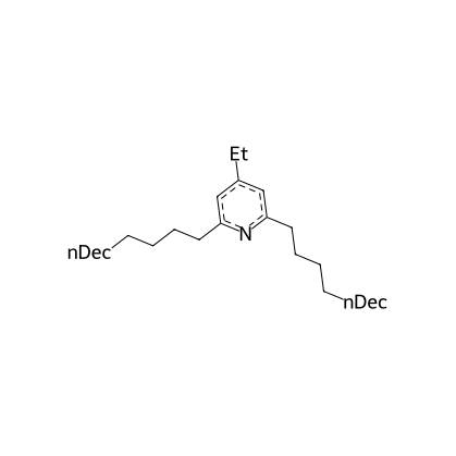 [CH2]Cc1cc(CCCCCCCCCCCCCC)nc(CCCCCCCCCCCCCC)c1